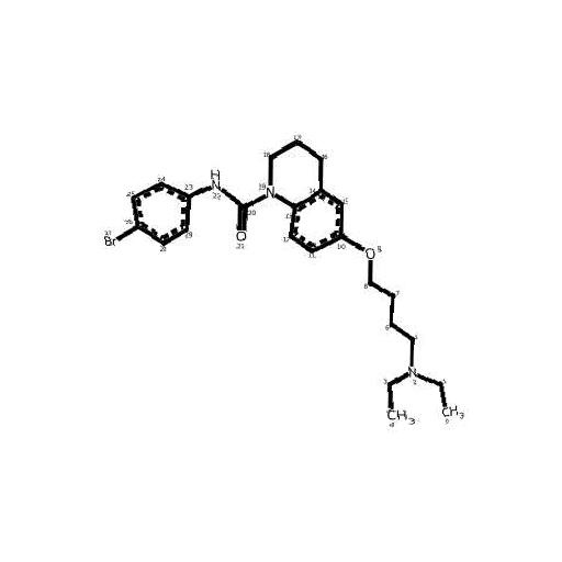 CCN(CC)CCCCOc1ccc2c(c1)CCCN2C(=O)Nc1ccc(Br)cc1